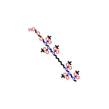 CCN(CCN(CCN(CCCCCCCCCN(CCN(CCN(CCOCCOCCO)C(=O)OC(C)(C)C)C(=O)OC(C)(C)C)C(=O)OC(C)(C)C)C(=O)OC(C)(C)C)C(=O)OC(C)(C)C)C(=O)OC(C)(C)C